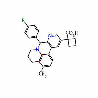 O=C(O)C1(c2cnc(C(c3ccc(F)cc3)N3CCCCC3)c(-c3ccc(C(F)(F)F)cc3)c2)CCC1